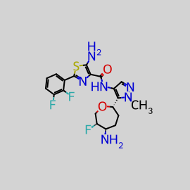 Cn1ncc(NC(=O)c2nc(-c3cccc(F)c3F)sc2N)c1[C@@H]1CC[C@@H](N)[C@@H](F)CO1